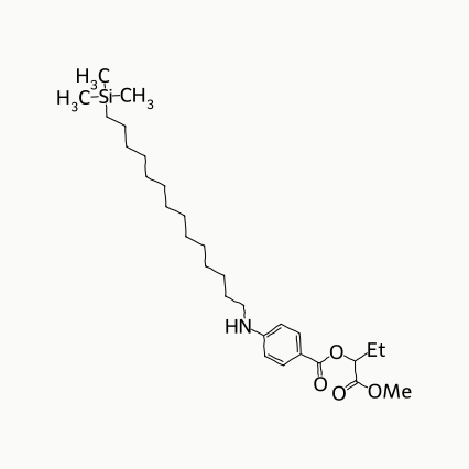 CCC(OC(=O)c1ccc(NCCCCCCCCCCCCCC[Si](C)(C)C)cc1)C(=O)OC